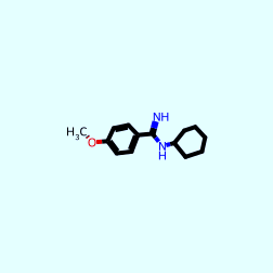 COc1ccc(C(=N)NC2CCCCC2)cc1